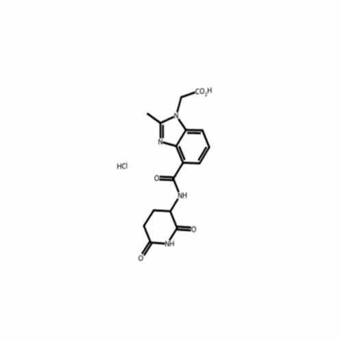 Cc1nc2c(C(=O)NC3CCC(=O)NC3=O)cccc2n1CC(=O)O.Cl